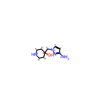 Nc1ccn(CC2(O)CCNCC2)n1